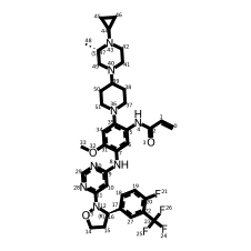 C=CC(=O)Nc1cc(Nc2cc(N3OCC[C@@H]3c3ccc(F)c(C(F)(F)F)c3)ncn2)c(OC)cc1N1CCC(N2CCN(C3CC3)[C@@H](C)C2)CC1